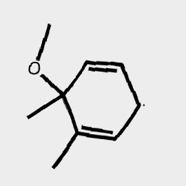 COC1(C)C=C[CH]C=C1C